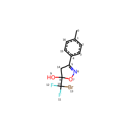 Cc1ccc(C2=NOC(O)(C(F)(F)Br)C2)cc1